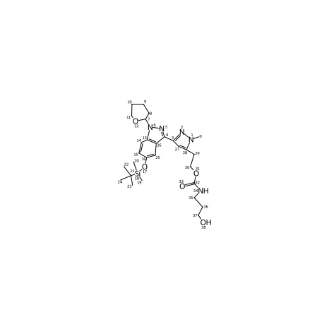 Cn1nc(-c2nn(C3CCCCO3)c3ccc(O[Si](C)(C)C(C)(C)C)cc23)cc1CCOC(=O)NCCCO